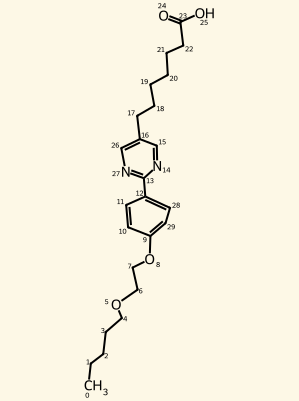 CCCCCOCCOc1ccc(-c2ncc(CCCCCCC(=O)O)cn2)cc1